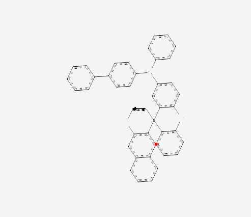 c1ccc(-c2ccc(N(c3ccccc3)c3ccc4c(c3)C3(c5ccccc5O4)c4ccccc4Sc4cc5ccccc5cc43)cc2)cc1